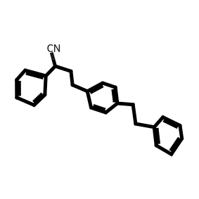 N#CC(CCc1ccc(CCc2ccccc2)cc1)c1ccccc1